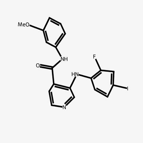 COc1cccc(NC(=O)c2ccncc2Nc2ccc(I)cc2F)c1